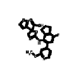 COc1cc(-c2cc(F)c3c(c2NC2=NCC(C(=O)O)(c4ccon4)O2)CCC3)ccn1